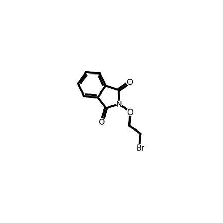 O=C1c2ccccc2C(=O)N1OCCBr